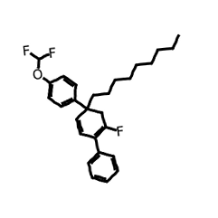 CCCCCCCCCC1(c2ccc(OC(F)F)cc2)C=CC(c2ccccc2)=C(F)C1